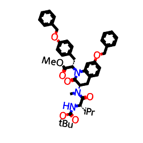 COC(=O)[C@H](Cc1ccc(OCc2ccccc2)cc1)N1C(=O)[C@@H](N(C)C(=O)[C@@H](NC(=O)OC(C)(C)C)C(C)C)Cc2ccc(OCc3ccccc3)cc21